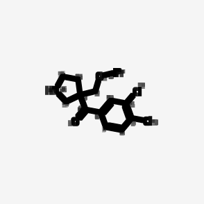 CC(C)OCC1(C(=O)c2ccc(Cl)c(Cl)c2)CCNC1